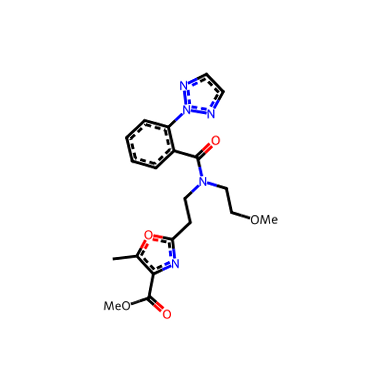 COCCN(CCc1nc(C(=O)OC)c(C)o1)C(=O)c1ccccc1-n1nccn1